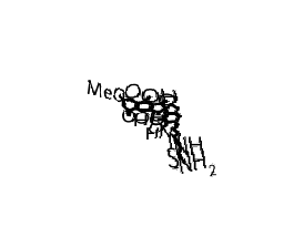 COC1=CC(=O)c2c(O)c3c(c(O)c2C1=O)C(=O)C1(CCc2cc4cc(C=NNC(N)=S)[nH]c(=O)c4c(O)c21)C3=O